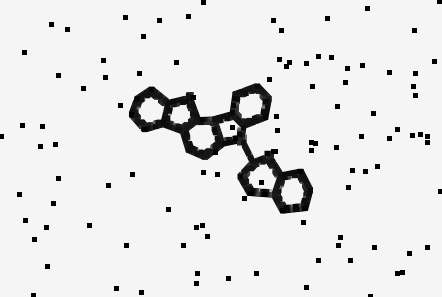 c1ccc2nc(-n3c4ccccc4c4c5sc6ccccc6c5ccc43)ccc2c1